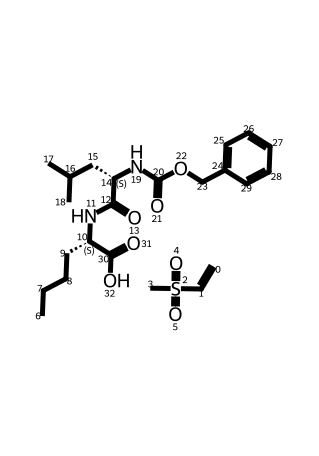 C=CS(C)(=O)=O.CCCC[C@H](NC(=O)[C@H](CC(C)C)NC(=O)OCc1ccccc1)C(=O)O